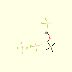 CCOC[Si](C)(C)C.F[B-](F)(F)F.F[B-](F)(F)F.F[B-](F)(F)F